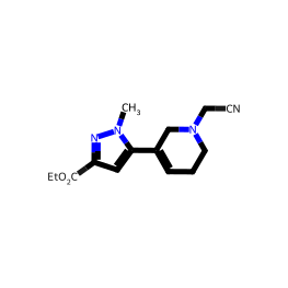 CCOC(=O)c1cc(C2=CCCN(CC#N)C2)n(C)n1